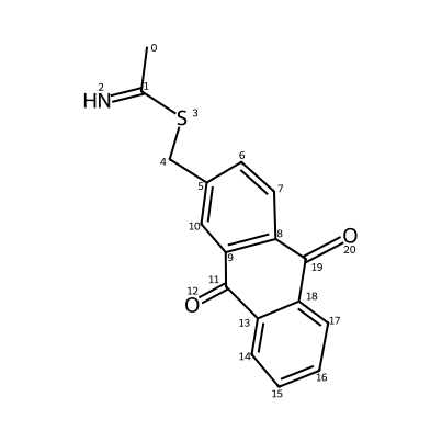 CC(=N)SCc1ccc2c(c1)C(=O)c1ccccc1C2=O